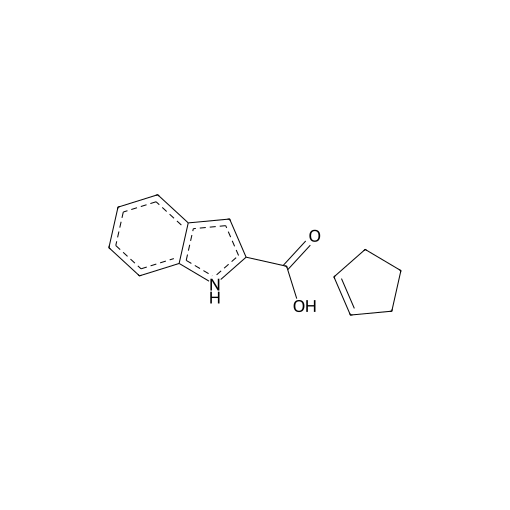 C1=CCCC1.O=C(O)c1cc2ccccc2[nH]1